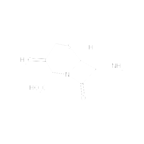 C=C1CS[C@H]2[C@H](N)C(=O)N2[C@@H]1C(=O)O